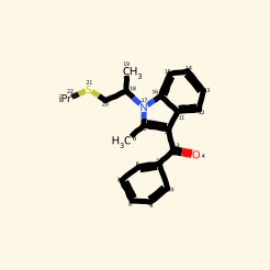 Cc1c(C(=O)c2ccccc2)c2ccccc2n1C(C)CSC(C)C